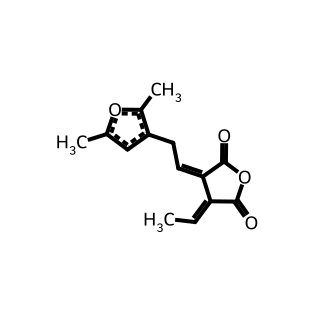 C/C=C1/C(=O)OC(=O)C1=CCc1cc(C)oc1C